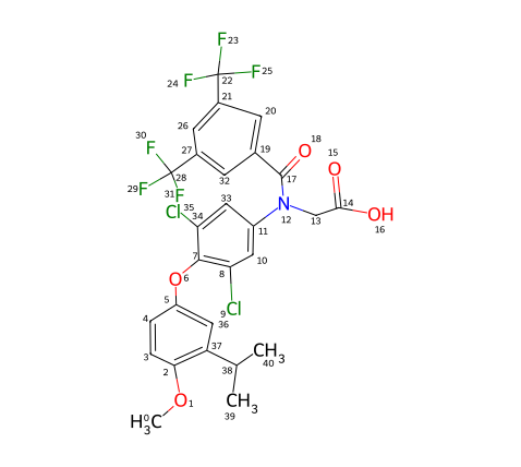 COc1ccc(Oc2c(Cl)cc(N(CC(=O)O)C(=O)c3cc(C(F)(F)F)cc(C(F)(F)F)c3)cc2Cl)cc1C(C)C